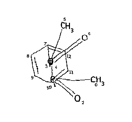 CP1(=O)OP(C)(=O)c2ccc1cc2